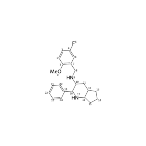 COc1ccc(F)cc1CNC1CC2CCCC2NC1c1ccccc1